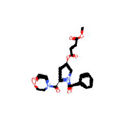 COC(=O)/C=C/C(=O)O[C@@H]1C[C@@H](C(=O)N2CCOCC2)N(C(=O)c2ccccc2)C1